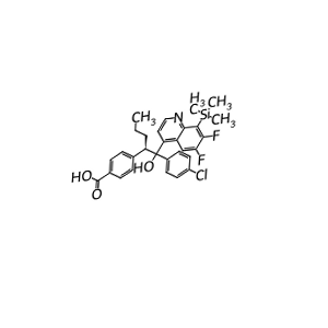 CCC[C@H](c1ccc(C(=O)O)cc1)C(O)(c1ccc(Cl)cc1)c1ccnc2c([Si](C)(C)C)c(F)c(F)cc12